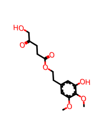 COc1cc(CCOC(=O)CCC(=O)CO)cc(O)c1OC